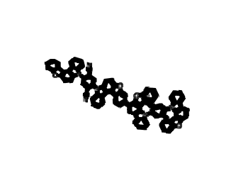 N#Cc1cc(-n2c3ccccc3c3c4c(ccc32)oc2cc(-c3cc5c6ccccc6n(-c6cc(C#N)c(-n7c8ccccc8c8ccc9oc%10ccccc%10c9c87)cc6C#N)c5c5c3oc3ccccc35)ccc24)c(C#N)cc1-n1c2ccccc2c2c3c(ccc21)oc1ccccc13